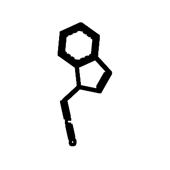 O=C=CC1C=Cc2ccccc21